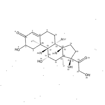 C[C@]12CC(O)C(=O)C=C1CC[C@@H]1[C@@H]2[C@@H](O)C[C@@]2(C)[C@H]1CC[C@]2(O)C(=O)CO